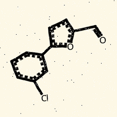 O=Cc1ccc(-c2cccc(Cl)c2)o1